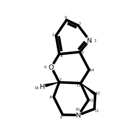 c1cnc2c(c1)O[C@H]1CCN3CC[C@@]1(C2)C3